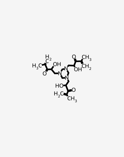 C=C(C)C(=O)C(O)CN1CN(CC(O)C(=O)C(=C)C)CN(CC(O)C(=O)C(=C)C)C1